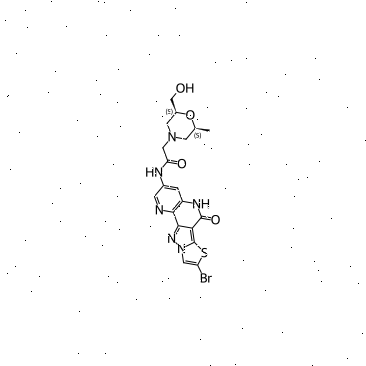 C[C@H]1CN(CC(=O)Nc2cnc3c(c2)[nH]c(=O)c2c3nn3cc(Br)sc23)C[C@@H](CO)O1